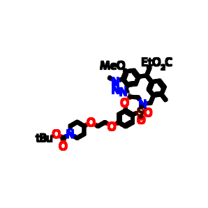 CCOC(=O)CC(c1ccc(C)c(CN2C[C@@H](C)Oc3cc(OCCOC4CCN(C(=O)OC(C)(C)C)CC4)ccc3S2(=O)=O)c1)c1cc(OC)c2c(c1)nnn2C